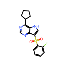 O=S(=O)(c1ccccc1F)c1c[nH]c2c(C3CCCC3)ncnc12